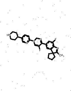 CC1=Nc2c(F)cc(C3=NCN(c4ccc(C5CCNCC5)cn4)C=C3F)cc2C12CCCC2